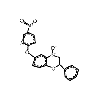 O=[N+]([O-])c1ccc(Oc2ccc3c(c2)[S+]([O-])CC(c2ccccc2)O3)nc1